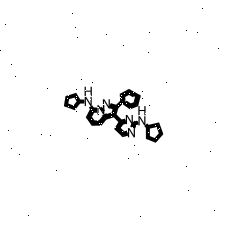 c1ccc(-c2nn3c(NC4CCCC4)cccc3c2-c2ccnc(NC3CCCC3)n2)cc1